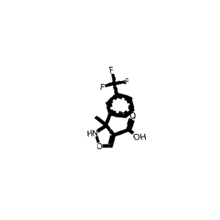 CC1(c2cccc(C(F)(F)F)c2)NOC=C1C(=O)O